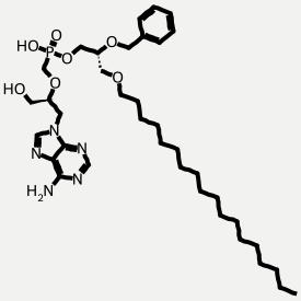 CCCCCCCCCCCCCCCCCCOC[C@H](COP(=O)(O)CO[C@H](CO)Cn1cnc2c(N)ncnc21)OCc1ccccc1